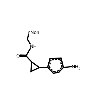 CCCCCCCCCCNC(=O)C1CC1c1ccc(N)cc1